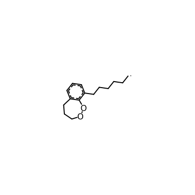 [CH2]CCCCCc1cccc2c1OOCCC2